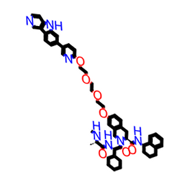 CN[C@@H](C)C(=O)N[C@H](C(=O)N1Cc2cc(OCCOCCOCCOc3ccc(-c4ccc5c(c4)[nH]c4ccncc45)cn3)ccc2C[C@H]1C(=O)N[C@H]1CCCc2ccccc21)C1CCCCC1